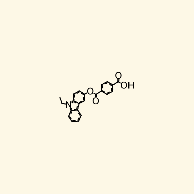 CCn1c2ccccc2c2cc(OC(=O)c3ccc(C(=O)O)cc3)ccc21